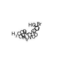 CC(C)(C)OC(=O)CCC(C(N)=O)N1Cc2c(ccc(Br)c2O)C1=O